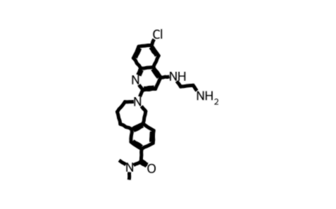 CN(C)C(=O)c1ccc2c(c1)CCCN(c1cc(NCCN)c3cc(Cl)ccc3n1)C2